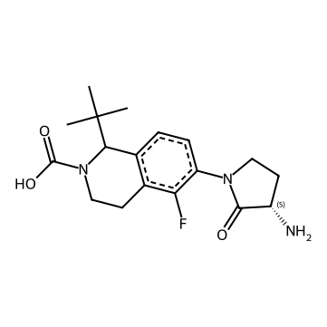 CC(C)(C)C1c2ccc(N3CC[C@H](N)C3=O)c(F)c2CCN1C(=O)O